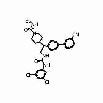 CCN[S+]([O-])N1CCC(C(CNC(=O)Nc2cc(Cl)cc(Cl)c2)c2ccc(-c3cccc(C#N)c3)cc2)CC1